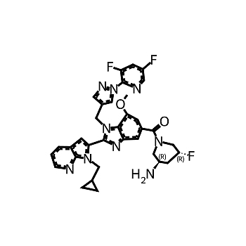 COc1cc(C(=O)N2C[C@H](N)C[C@@H](F)C2)cc2nc(-c3cc4cccnc4n3CC3CC3)n(Cc3cnn(-c4ncc(F)cc4F)c3)c12